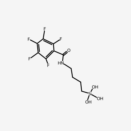 O=C(NCCCC[Si](O)(O)O)c1c(F)c(F)c(F)c(F)c1F